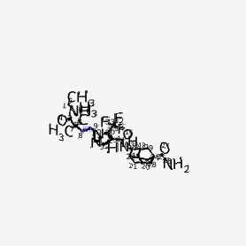 CCNC(=O)C(C)(C)/C=C/n1ncc(C(=O)N[C@H]2C3CC4CC2C[C@](C(N)=O)(C4)C3)c1C(F)(F)F